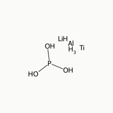 OP(O)O.[AlH3].[LiH].[Ti]